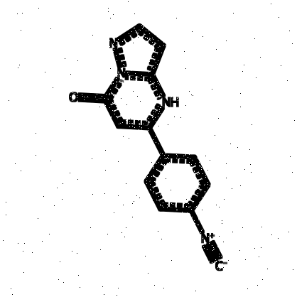 [C-]#[N+]c1ccc(-c2cc(=O)n3nccc3[nH]2)cc1